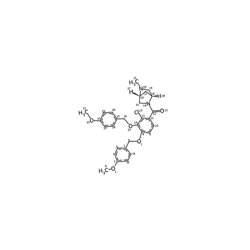 COc1ccc(COc2ccc(C(=O)N3C[C@H]4C[C@@H]3CN4C)c(Cl)c2OCc2ccc(OC)cc2)cc1